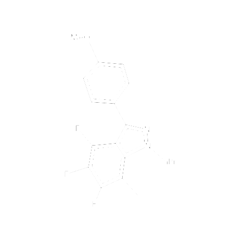 CCCn1nc(-c2ccc(OC)cc2)c2c(F)c(F)c(F)c(C)c21